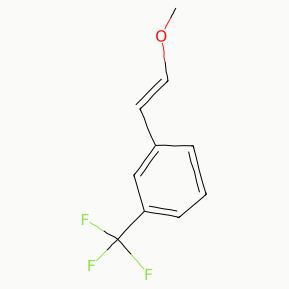 CO/C=C/c1cccc(C(F)(F)F)c1